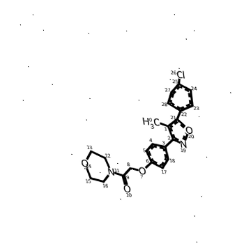 Cc1c(-c2ccc(OCC(=O)N3CCOCC3)cc2)noc1-c1ccc(Cl)cc1